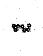 c1ccc(-c2cccc3c2sc2c(-c4cccc(-c5ccc6c7ccccc7c7nccnc7c6c5)c4)cccc23)cc1